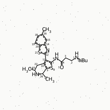 CC[C@H](C)NCCC(=O)Nc1sc2c(c1-c1nc3cc(C)ccc3s1)CC(C)NC2C